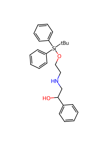 CC(C)(C)[Si](OCCNCC(O)c1ccccc1)(c1ccccc1)c1ccccc1